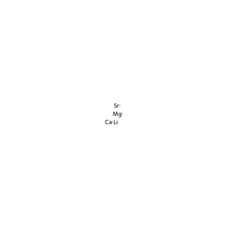 [Ca].[Li].[Mg].[Sr]